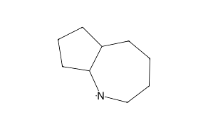 C1CCC2CCCC2[N]C1